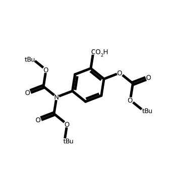 CC(C)(C)OC(=O)Oc1ccc(N(C(=O)OC(C)(C)C)C(=O)OC(C)(C)C)cc1C(=O)O